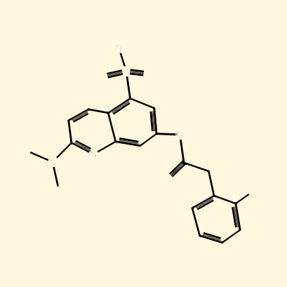 CN(C)c1ccc2c(S(N)(=O)=O)cc(NC(=O)Cc3ccccc3Cl)cc2n1